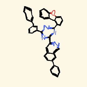 c1ccc(-c2cccc(-c3nc(-c4cc5ccc(-c6ccccc6)cc5cn4)nc(-c4cccc5oc6ccccc6c45)n3)c2)cc1